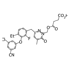 CCc1ccc(Cc2cc(C)c(=O)n(COC(=O)CCC(=O)O)n2)c(F)c1Oc1cc(Cl)cc(C#N)c1